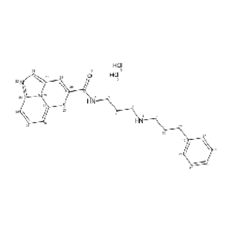 Cl.Cl.O=C(NCCCNCCCc1ccccc1)C1=Cc2cnc3cccc(n23)S1